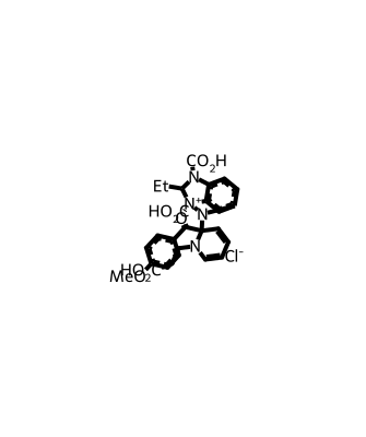 CCC1N(C(=O)O)c2ccc3cc2[N+]1(C(=O)O)N3C1(C(=O)c2ccc(OC)cc2)C=CC=CN1CCC(=O)O.[Cl-]